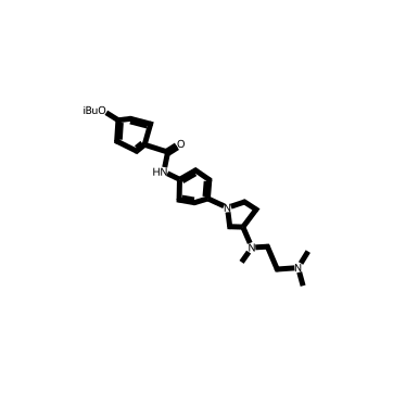 CC(C)COc1ccc(C(=O)Nc2ccc(N3CCC(N(C)CCN(C)C)C3)cc2)cc1